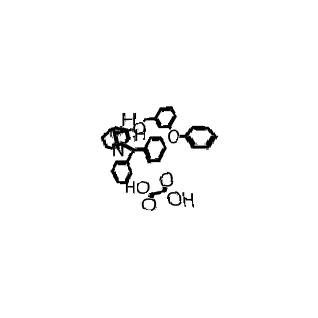 O=C(O)C(=O)O.c1ccc(Oc2cccc(CO[C@@H]3C4CCN(CC4)[C@@H]3C(c3ccccc3)c3ccccc3)c2)cc1